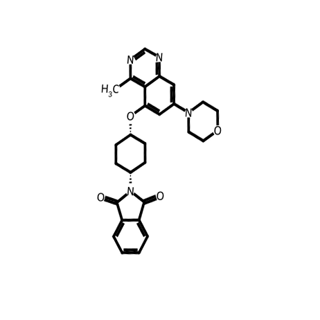 Cc1ncnc2cc(N3CCOCC3)cc(O[C@H]3CC[C@@H](N4C(=O)c5ccccc5C4=O)CC3)c12